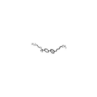 CCCCCC12CCC(C3CCC(C(=O)OCCC)CC3)(CC1)CC2